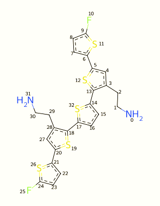 NCCc1cc(-c2ccc(F)s2)sc1-c1ccc(-c2sc(-c3ccc(F)s3)cc2CCN)s1